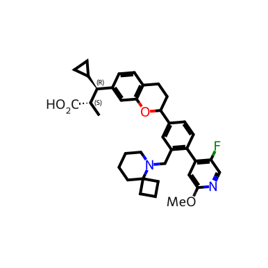 COc1cc(-c2ccc(C3CCc4ccc([C@H](C5CC5)[C@H](C)C(=O)O)cc4O3)cc2CN2CCCCC23CCC3)c(F)cn1